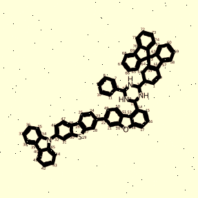 C1=CC(C2NC(c3ccccc3)NC(c3cccc4oc5cc(-c6ccc7c(c6)sc6cc(-n8c9ccccc9c9ccccc98)ccc67)ccc5c34)N2)CC2=C1c1ccccc1C21c2ccccc2-c2ccccc21